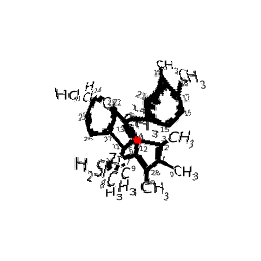 CC1=C(C)C(C)[C]([Zr]([CH3])([CH3])(=[SiH2])[CH]2C=C(c3ccc(C)c(C)c3)c3ccccc32)=C1C.Cl.Cl